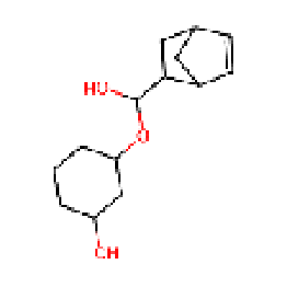 OC1CCCC(OC(O)C2CC3C=CC2C3)C1